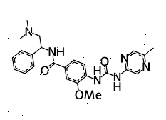 COc1cc(C(=O)NC(CN(C)C)c2ccccc2)ccc1NC(=O)Nc1cnc(C)cn1